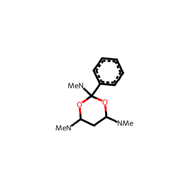 CNC1CC(NC)OC(NC)(c2ccccc2)O1